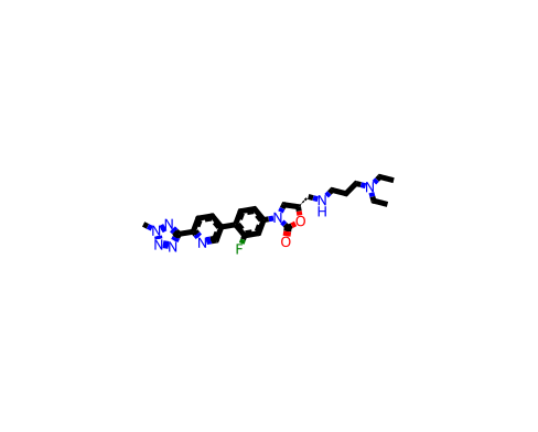 CCN(CC)CCCNC[C@H]1CN(c2ccc(-c3ccc(-c4nnn(C)n4)nc3)c(F)c2)C(=O)O1